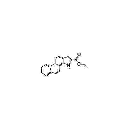 CCOC(=O)c1cc2ccc3c4ccccc4ccc3c2n1C